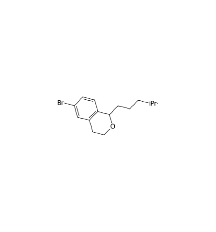 C[C](C)CCCC1OCCc2cc(Br)ccc21